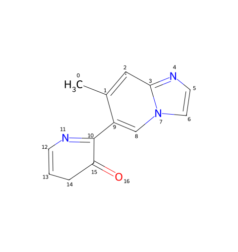 Cc1[c]c2nccn2cc1C1=NC=CCC1=O